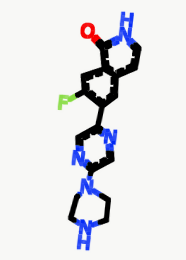 O=c1[nH]ccc2cc(-c3cnc(N4CCNCC4)cn3)c(F)cc12